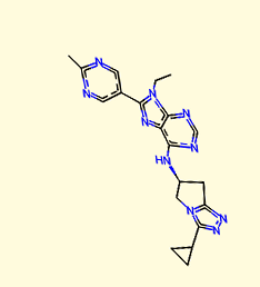 CCn1c(-c2cnc(C)nc2)nc2c(N[C@H]3Cc4nnc(C5CC5)n4C3)ncnc21